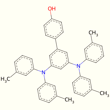 Cc1cccc(N(c2cccc(C)c2)c2cc(-c3ccc(O)cc3)cc(N(c3cccc(C)c3)c3cccc(C)c3)c2)c1